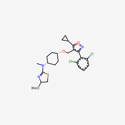 COC1CSC(N(C)[C@H]2CC[C@@H](OCc3c(-c4c(Cl)cccc4Cl)noc3C3CC3)CC2)=N1